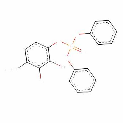 CCCCCCCCc1ccc(OP(=O)(Oc2ccccc2)Oc2ccccc2)c(Br)c1Br